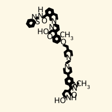 Cc1c(OCCC2CCN(CCN3CCC(c4ccc5c(C6CCC(O)NC6=O)nn(C)c5c4)CC3)CC2)cccc1-c1ccc(N2CCc3cccc(C(=O)Nc4nc5ccccc5s4)c3C2)nc1C(=O)O